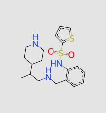 CC(CNCc1ccccc1NS(=O)(=O)c1cccs1)C1CCNCC1